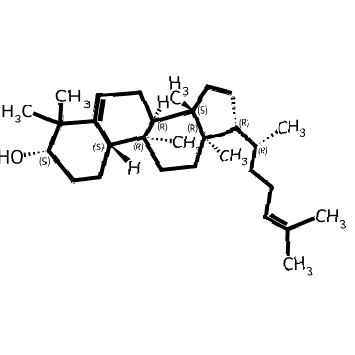 CC(C)=CCC[C@@H](C)[C@H]1CC[C@@]2(C)[C@@H]3CC=C4[C@@H](CC[C@H](O)C4(C)C)[C@]3(C)CC[C@]12C